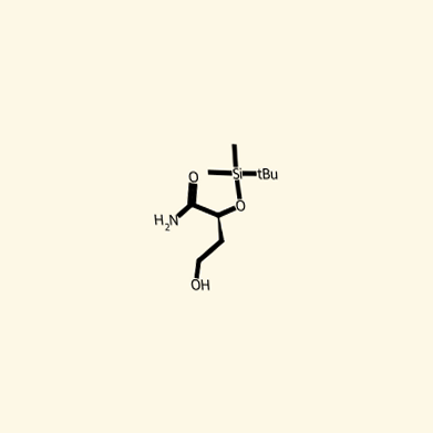 CC(C)(C)[Si](C)(C)O[C@@H](CCO)C(N)=O